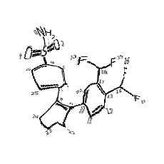 NS(=O)(=O)c1ccc(C2=C(c3ccc(C(F)F)c(C(F)F)c3)CCC2)cc1